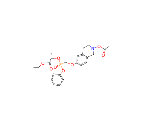 CCOC(=O)[C@H](C)OP(=O)(COc1ccc2c(c1)CCN(OC(C)=O)C2)Oc1ccccc1